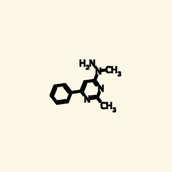 Cc1nc(-c2ccccc2)cc(N(C)N)n1